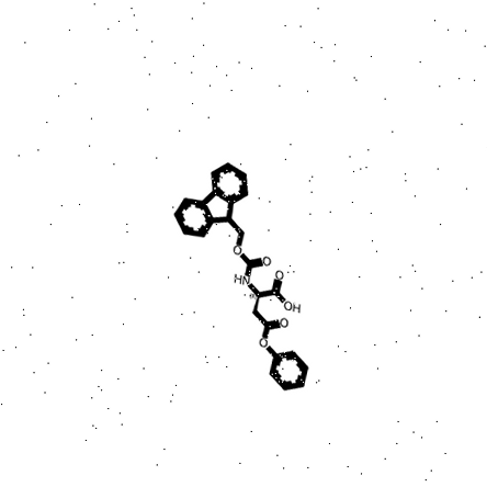 O=C(C[C@@H](NC(=O)OCC1c2ccccc2-c2ccccc21)C(=O)O)Oc1ccccc1